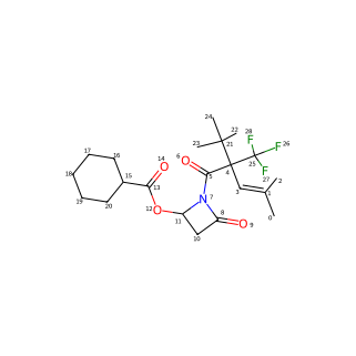 CC(C)=CC(C(=O)N1C(=O)CC1OC(=O)C1CCCCC1)(C(C)(C)C)C(F)(F)F